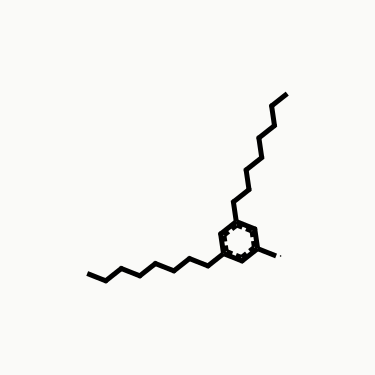 [CH2]c1cc(CCCCCCCC)cc(CCCCCCCC)c1